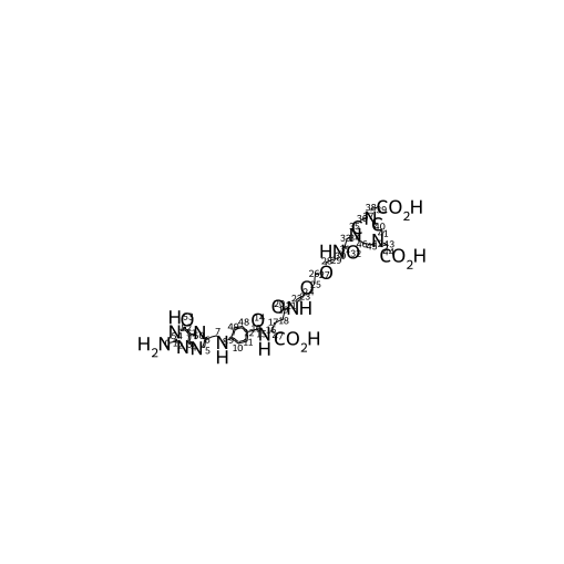 Nc1nc2ncc(CNc3ccc(C(=O)NC(CCC(=O)NCCOCCOCCNC(=O)CN4CCN(CC(=O)O)CCN(CC(=O)O)CC4)C(=O)O)cc3)nc2c(=O)[nH]1